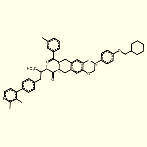 Cc1cccc(C(=O)N2Cc3cc4c(cc3C[C@H]2C(=O)NC(Cc2ccc(-c3ccnc(C)c3C)cc2)C(=O)O)OC[C@H](c2ccc(OCC3CCCCC3)cc2)O4)c1